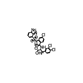 C[C@H](c1ccc(Cl)c(Cl)c1)C(NC(=O)c1ccc(Cl)cc1NS(=O)(=O)c1cccc2nsnc12)C(=O)O